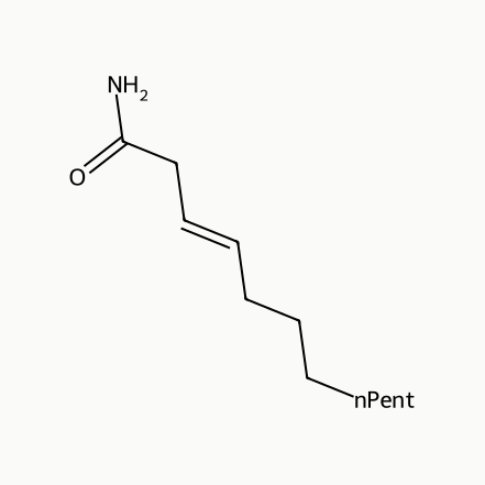 CCCCCCCCC=CCC(N)=O